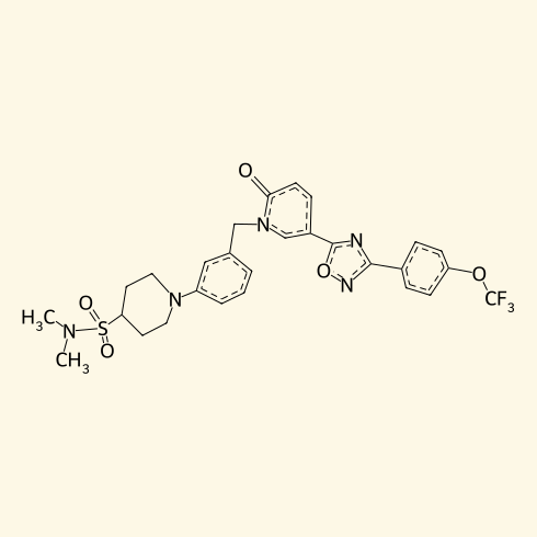 CN(C)S(=O)(=O)C1CCN(c2cccc(Cn3cc(-c4nc(-c5ccc(OC(F)(F)F)cc5)no4)ccc3=O)c2)CC1